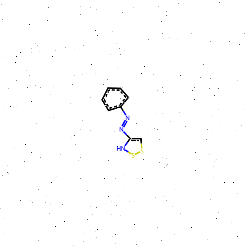 C1=C(N=Nc2ccccc2)NSS1